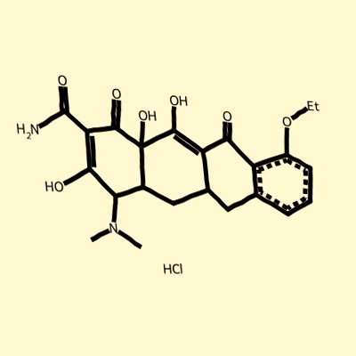 CCOc1cccc2c1C(=O)C1=C(O)C3(O)C(=O)C(C(N)=O)=C(O)C(N(C)C)C3CC1C2.Cl